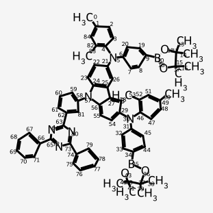 Cc1ccc(N(c2ccc(B3OC(C)(C)C(C)(C)O3)cc2)c2ccc3c(c2)c2cc(N(c4ccc(B5OC(C)(C)C(C)(C)O5)cc4)c4ccc(C)cc4C)ccc2n3-c2cccc(-c3nc(-c4ccccc4)nc(-c4ccccc4)n3)c2)c(C)c1